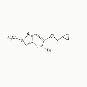 Cn1cc2cc(Br)c(OCC3CC3)cc2n1